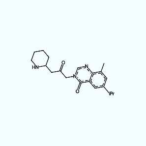 Cc1cc(C(C)C)cc2c(=O)n(CC(=O)CC3CCCCN3)cnc12